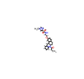 CCC(=O)NC1CCc2ccc(OCCNS(=O)(=O)c3cn(C)cn3)cc2C1Cc1ccccc1